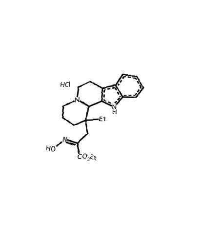 CCOC(=O)C(CC1(CC)CCCN2CCc3c([nH]c4ccccc34)C21)=NO.Cl